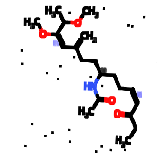 C=C(/C=C(/OC)C(C)OC)CC[C@@H](CC/C=C\C(=O)CC)NC(C)=O